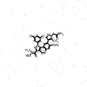 COc1cc2c(cc1-c1cnn(CC(N)=O)c1C)-c1c(c(C(=O)N(C)C(C)(C)C)nn1-c1cc(Cl)cc(Cl)c1)CO2